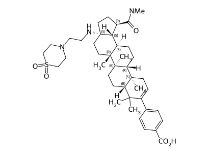 CNC(=O)[C@@H]1CC[C@]2(NCCN3CCS(=O)(=O)CC3)CC[C@]3(C)[C@H](CC[C@@H]4[C@@]5(C)CC=C(c6ccc(C(=O)O)cc6)C(C)(C)[C@@H]5CC[C@]43C)[C@@H]12